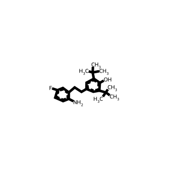 CC(C)(C)c1cc(CCc2cc(F)ccc2N)cc(C(C)(C)C)c1O